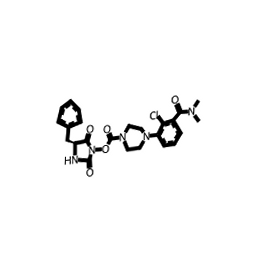 CN(C)C(=O)c1cccc(N2CCN(C(=O)ON3C(=O)N[C@@H](Cc4ccccc4)C3=O)CC2)c1Cl